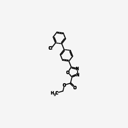 CCOC(=O)c1nnc(-c2ccc(-c3ccccc3Cl)cc2)o1